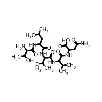 CC(C)CC(NC(=O)C(N)C(C)O)C(=O)NC(C(=O)NC(C(=O)NC(CC(N)=O)C(=O)O)C(C)C)C(C)C